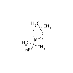 CCCC(C)(C)B1OCC(C)(C)CO1